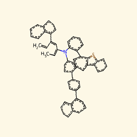 C=C/C(=C\C(=C/C)N(c1ccc(-c2ccc(-c3cccc4ccccc34)cc2)cc1)c1ccccc1-c1cccc2c1sc1ccccc12)c1cccc2ccccc12